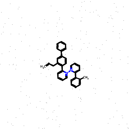 C=CCc1cc(-c2ccccc2)ccc1-c1cccc[n+]1-[n+]1ccccc1-c1ccccc1C